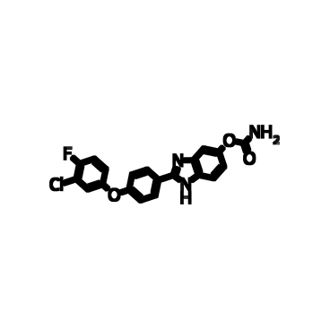 NC(=O)Oc1ccc2[nH]c(-c3ccc(Oc4ccc(F)c(Cl)c4)cc3)nc2c1